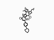 Cc1c(-c2nn3c(=O)cc(-c4ccc(C5CCCCC5)cc4)[nH]c3c2C(=O)N2CC(CF)C2)ncn1C